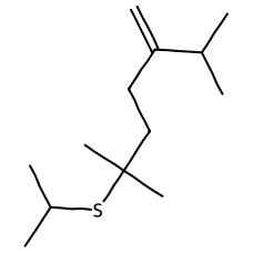 C=C(CCC(C)(C)SC(C)C)C(C)C